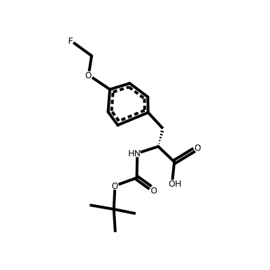 CC(C)(C)OC(=O)N[C@H](Cc1ccc(OCF)cc1)C(=O)O